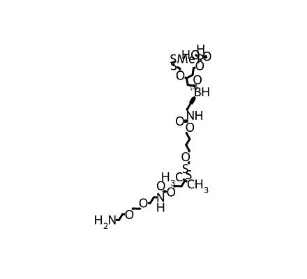 CSSCOC1C[C@H](BC#CCNC(=O)OCCCCOCSSC(C)(C)CCOC(=O)NCCOCCOCCN)OC1CO[PH](=O)O